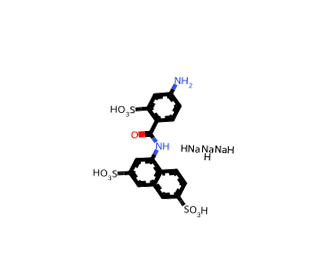 Nc1ccc(C(=O)Nc2cc(S(=O)(=O)O)cc3cc(S(=O)(=O)O)ccc23)c(S(=O)(=O)O)c1.[NaH].[NaH].[NaH]